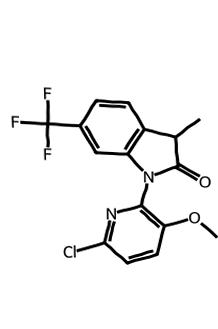 COc1ccc(Cl)nc1N1C(=O)C(C)c2ccc(C(F)(F)F)cc21